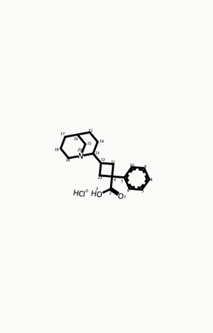 Cl.O=C(O)C1(c2ccccc2)CC(C2CCC3CCCN2C3)C1